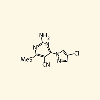 CSc1nc(N)nc(-n2cc(Cl)cn2)c1C#N